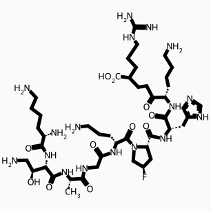 C[C@H](NC(=O)[C@@H](NC(=O)[C@@H](N)CCCCN)[C@@H](O)CN)C(=O)NCC(=O)N[C@H](CCCN)C(=O)N1C[C@H](F)C[C@H]1C(=O)N[C@@H](Cc1cnc[nH]1)C(=O)N[C@@H](CCCCN)C(=O)CCC(CCCNC(=N)N)C(=O)O